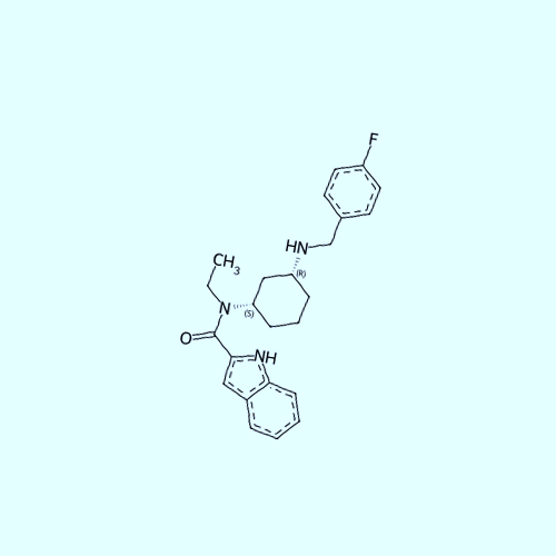 CCN(C(=O)c1cc2ccccc2[nH]1)[C@H]1CCC[C@@H](NCc2ccc(F)cc2)C1